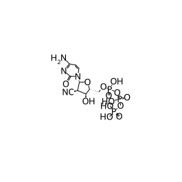 N#C[C@@H]1[C@H](O)[C@@H](COP(=O)(O)OP(=O)(O)OP(=O)(O)O)O[C@H]1n1ccc(N)nc1=O